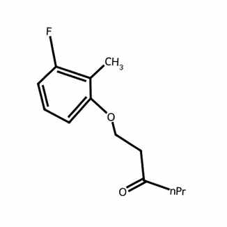 CCCC(=O)CCOc1cccc(F)c1C